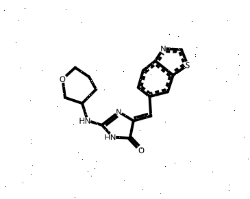 O=C1NC(NC2CCCOC2)=N/C1=C\c1ccc2ncsc2c1